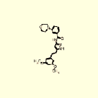 COc1cc(CCc2cc(NC(=O)c3cccc(N4CCOCC4)c3)n[nH]2)cc(OC)c1